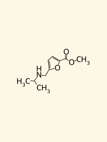 COC(=O)c1ccc(CNC(C)C)o1